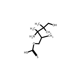 CC(COC(=S)S)C(C)(N)C(C)(C)CO